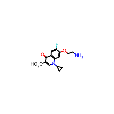 NCCOc1cc2c(cc1F)c(=O)c(C(=O)O)cn2C1CC1